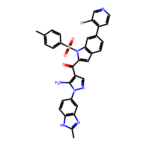 Cc1ccc(S(=O)(=O)n2c(C(=O)c3cnn(-c4ccc5[nH]c(C)nc5c4)c3N)cc3ccc(-c4ccncc4Cl)cc32)cc1